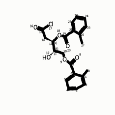 Cc1ccccc1C(=O)OC[C@H](O)[C@@H](CC(=O)Cl)OC(=O)c1ccccc1C